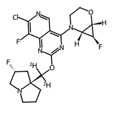 [2H]C([2H])(Oc1nc(N2CCO[C@@H]3[C@@H](F)[C@@H]32)c2cnc(Cl)c(F)c2n1)[C@@]12CCCN1C[C@H](F)C2